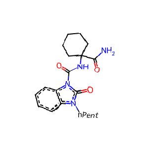 CCCCCn1c(=O)n(C(=O)NC2(C(N)=O)CCCCC2)c2ccccc21